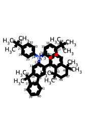 Cc1ccc2c(c1-c1cc3c(cc1N(c1ccc(C(C)(C)C)cc1)c1ccc(C(C)(C)C)cc1)C(C)(C)c1ccccc1-3)C(C)(C)CCC2(C)C